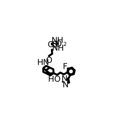 NS(=O)(=O)NCCCONC1C2CC3CC1CC(C(O)CC1c4c(F)cccc4-c4cncn41)(C3)C2